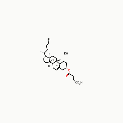 CC(C)CCC[C@@H](C)[C@H]1CC[C@H]2[C@@H]3CC=C4C[C@@H](OC(=O)CCC(=O)O)CC[C@]4(C)[C@H]3CC[C@]12C.[KH]